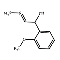 N#CC(/C=N/N)c1ccccc1OC(F)(F)F